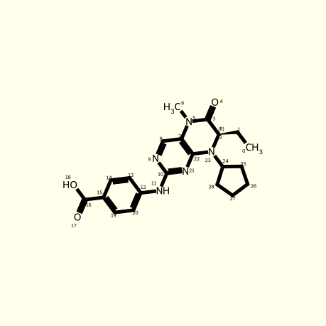 CC[C@@H]1C(=O)N(C)c2cnc(Nc3ccc(C(=O)O)cc3)nc2N1C1CCCC1